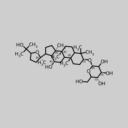 CC(C)(O)C1CC[C@](C)(C2CC[C@]3(C)C2[C@H](O)CC2[C@@]4(C)CC[C@H](O[C@@H]5OC(CO)[C@@H](O)[C@H](O)C5O)C(C)(C)C4CC[C@]23C)O1